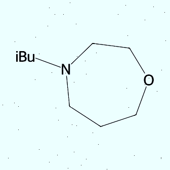 CCC(C)N1CCCOCC1